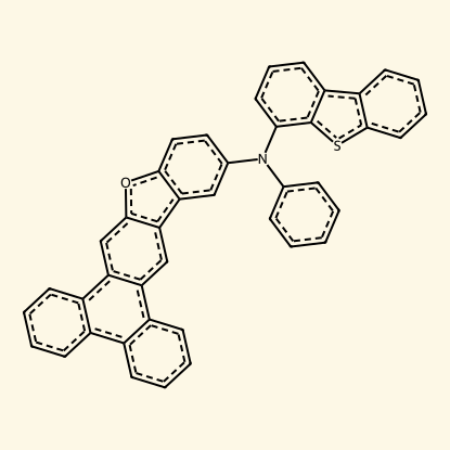 c1ccc(N(c2ccc3oc4cc5c6ccccc6c6ccccc6c5cc4c3c2)c2cccc3c2sc2ccccc23)cc1